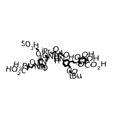 CC(C)[C@H](NC(=O)CN1C(=O)[C@@H](NC(=O)CC(C)(P)CC(=O)O)C[C@H]1COCCS(=O)(=O)O)C(=O)N[C@@H](C)C(=O)Nc1ccc(COC(=O)C(C)(C)C)c(CC[C@@H]2O[C@H](C(=O)O)[C@@H](O)[C@H](O)[C@H]2O)c1